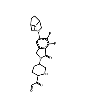 O=CC(=O)C1CCC(N2Cc3cc(N4CC5CCC(C4)N5)c(F)c(F)c3C2=O)CN1